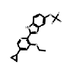 CCSc1cc(C2CC2)cnc1-c1nc2cc(OC(F)(F)F)ccc2[nH]1